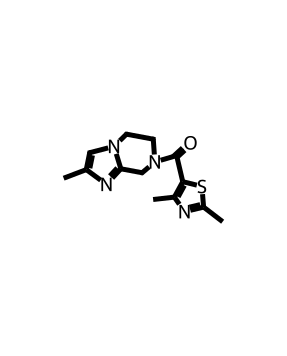 Cc1cn2c(n1)CN(C(=O)c1sc(C)nc1C)CC2